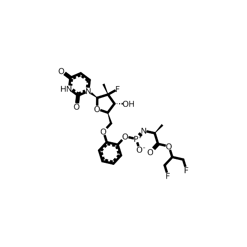 C[C@H](/N=[P+](\[O-])Oc1ccccc1OC[C@H]1O[C@@H](n2ccc(=O)[nH]c2=O)[C@](C)(F)[C@@H]1O)C(=O)OC(CF)CF